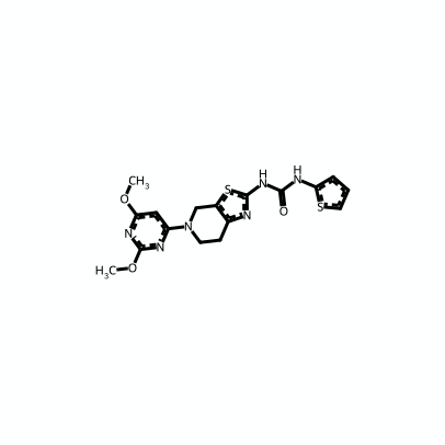 COc1cc(N2CCc3nc(NC(=O)Nc4cccs4)sc3C2)nc(OC)n1